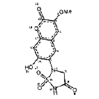 COc1cc2cc(N3CC(=O)NS3(=O)=O)c(O)cc2oc1=O